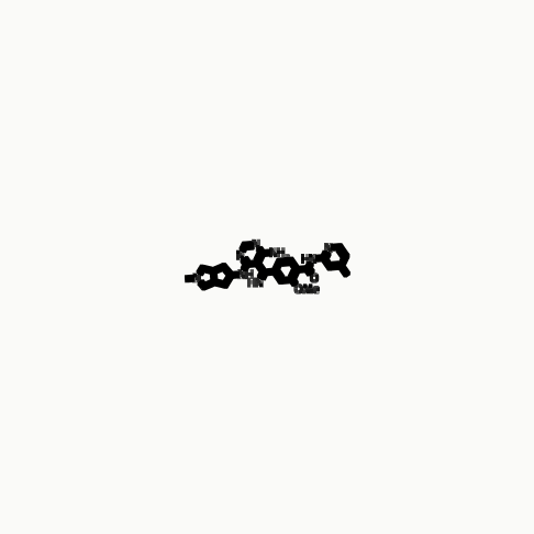 COc1cc(C(=N)c2c(N)ncnc2NC2CC3CN(C)CC3C2)ccc1C(=O)Nc1cc(C)ccn1